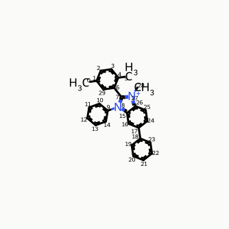 Cc1ccc(C)c(-c2n(-c3ccccc3)c3cc(-c4ccccc4)ccc3[n+]2C)c1